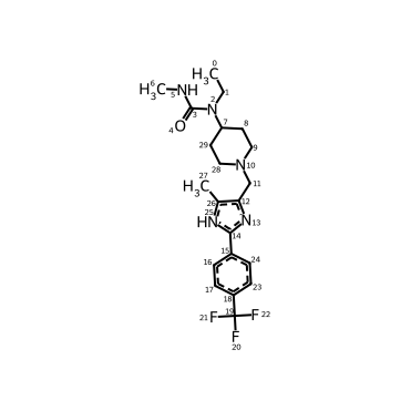 CCN(C(=O)NC)C1CCN(Cc2nc(-c3ccc(C(F)(F)F)cc3)[nH]c2C)CC1